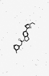 CCn1ccc(-c2ccc3c(c2)CCN3C(=O)Cc2cccc(C)c2)n1